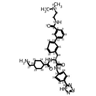 CN(C)CCNC(=O)c1cccc(-c2cccc(C[C@H](NC(=O)C3CCC(CN)CC3)C(=O)Nc3ccc(-c4nnn[nH]4)cc3)c2)c1